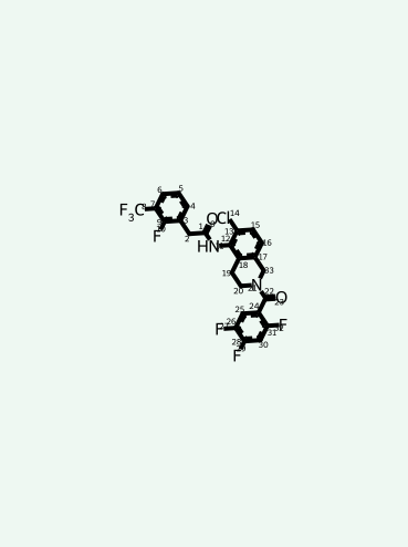 O=C(Cc1cccc(C(F)(F)F)c1F)Nc1c(Cl)ccc2c1CCN(C(=O)c1cc(F)c(F)cc1F)C2